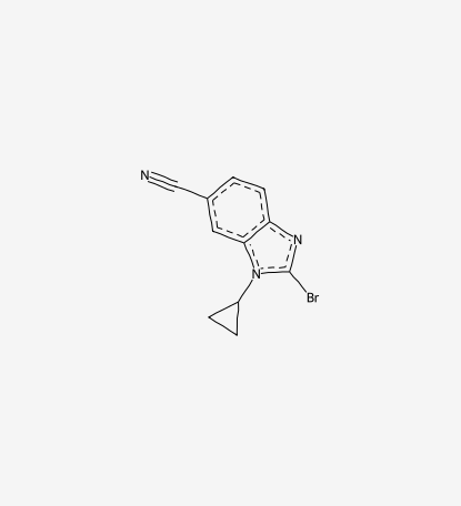 N#Cc1ccc2nc(Br)n(C3CC3)c2c1